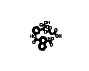 O=C(O)CC(=O)OC(c1ccccc1)S(=O)(=O)O.O=C(O)c1ccc(C(=O)O)c2ccccc12